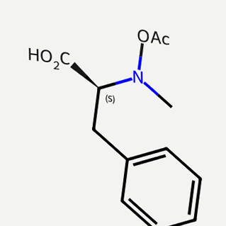 CC(=O)ON(C)[C@@H](Cc1ccccc1)C(=O)O